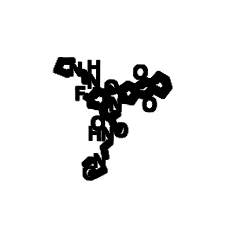 O=C(NCCCN1CCOCC1)c1cn2c3cc4c(=O)c5ccccc5c(=O)c4cc3oc3c(NCCN4CCCC4)c(F)cc(c1=O)c32